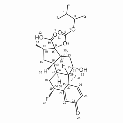 CC(C)C(C)OC(=O)O[C@@]1(C(=O)O)[C@H](C)C[C@H]2[C@@H]3C[C@H](F)C4=CC(=O)C=C[C@]4(C)C3(F)[C@@H](O)C[C@@]21C